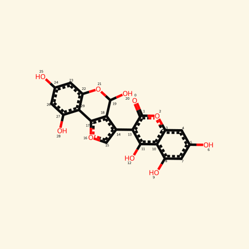 O=c1oc2cc(O)cc(O)c2c(O)c1-c1coc2c1C(O)Oc1cc(O)cc(O)c1-2